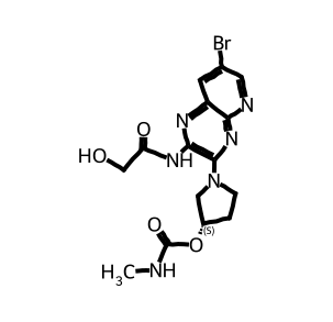 CNC(=O)O[C@H]1CCN(c2nc3ncc(Br)cc3nc2NC(=O)CO)C1